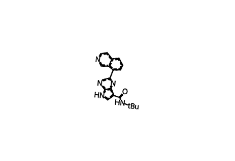 CC(C)(C)NC(=O)c1c[nH]c2ncc(-c3cccc4ccncc34)nc12